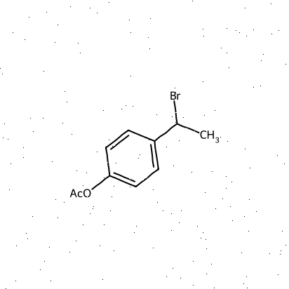 CC(=O)Oc1ccc(C(C)Br)cc1